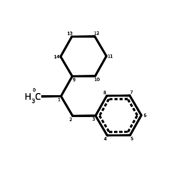 CC(Cc1ccccc1)C1CCCCC1